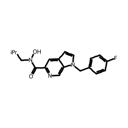 CC(C)CN(O)C(=O)c1cc2ccn(Cc3ccc(F)cc3)c2cn1